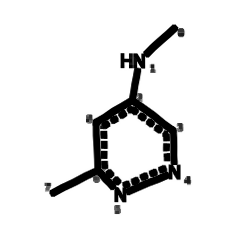 CNc1cnnc(C)c1